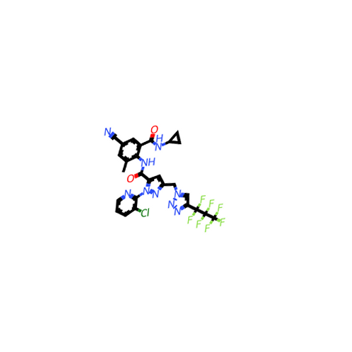 Cc1cc(C#N)cc(C(=O)NC2CC2)c1NC(=O)c1cc(Cn2cc(C(F)(F)C(F)(F)C(F)(F)F)nn2)nn1-c1ncccc1Cl